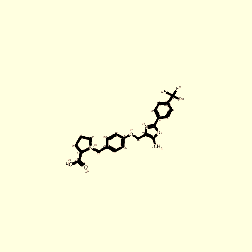 Cc1oc(-c2ccc(C(F)(F)F)cc2)nc1COc1ccc(CN2CCCC2C(=O)O)cc1